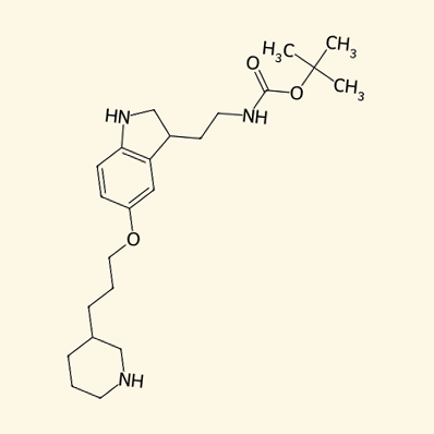 CC(C)(C)OC(=O)NCCC1CNc2ccc(OCCCC3CCCNC3)cc21